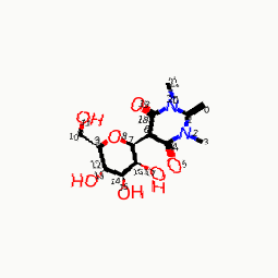 C=C1N(C)C(=O)C([C@@H]2O[C@H](CO)[C@@H](O)[C@H](O)[C@@H]2O)C(=O)N1C